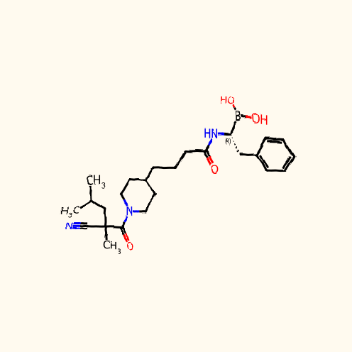 CC(C)CC(C)(C#N)C(=O)N1CCC(CCCC(=O)N[C@@H](Cc2ccccc2)B(O)O)CC1